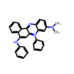 CN(C)c1ccc2nc3c4ccccc4c(Nc4ccccc4)cc3[n+](-c3ccccc3)c2c1